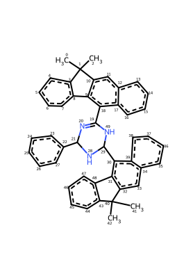 CC1(C)c2ccccc2-c2c1cc1ccccc1c2C1=NC(c2ccccc2)NC(c2c3c(cc4ccccc24)C(C)(C)c2ccccc2-3)N1